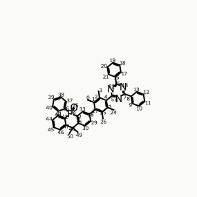 Cc1c(C)c(-c2nc(-c3ccccc3)nc(-c3ccccc3)n2)c(C)c(C)c1-c1ccc2c(c1)P(=O)(c1ccccc1)c1ccccc1C2(C)C